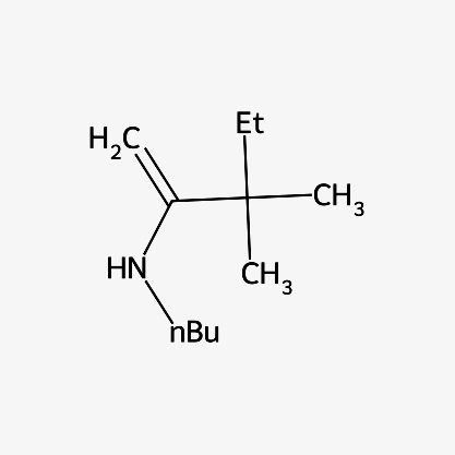 C=C(NCCCC)C(C)(C)CC